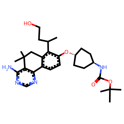 CC(CCO)c1c(O[C@H]2CC[C@H](NC(=O)OC(C)(C)C)CC2)ccc2c1CC(C)(C)c1c(N)ncnc1-2